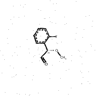 CO[C@H]([C]=O)c1ccccc1F